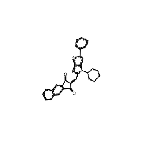 O=C1C(=Cc2nc3sc(-c4ccccc4)cc3n2C2CCCCC2)C(=O)c2cc3ccccc3cc21